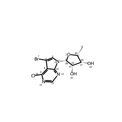 C[C@H]1O[C@@H](n2cc(Br)c3c(Cl)ncnc32)[C@@H](O)[C@H]1O